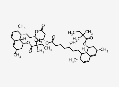 CCC(C)(C)C(=O)O[C@H]1C[C@@H](C)C=C2C=C[C@H](C)[C@H](CC[C@@H]3C[C@@H](OC(=O)CCC[C@H](O)CCC4[C@@H](C)C=CC5=C[C@H](C)C[C@H](OC(=O)C(C)(C)CC)[C@@H]54)CC(=O)O3)[C@@H]21